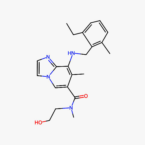 CCc1cccc(C)c1CNc1c(C)c(C(=O)N(C)CCO)cn2ccnc12